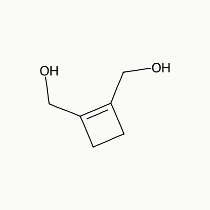 OCC1=C(CO)CC1